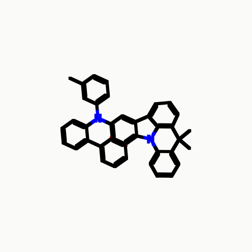 Cc1cccc(N(c2ccc3c(c2)c2cccc4c2n3-c2ccccc2C4(C)C)c2ccccc2-c2ccccc2)c1